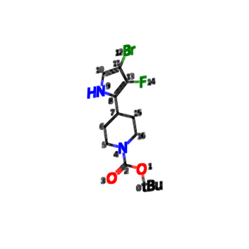 CC(C)(C)OC(=O)N1CCC(c2[nH]cc(Br)c2F)CC1